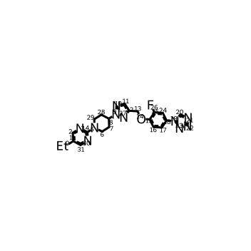 CCc1cnc(N2CCC(n3ncc(COc4ccc(-n5cnnn5)cc4F)n3)CC2)nc1